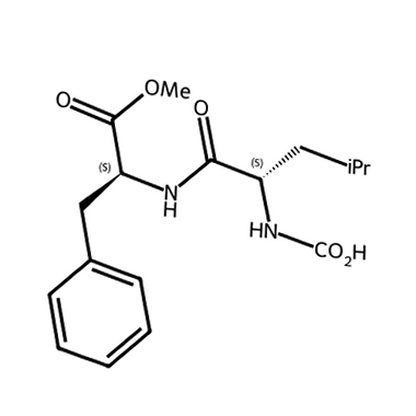 COC(=O)[C@H](Cc1ccccc1)NC(=O)[C@H](CC(C)C)NC(=O)O